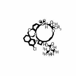 [2H]C([2H])([2H])N(C(=O)O[C@H]1C=CCOC(C)(C)C(=O)NS(=O)(=O)c2ccc3c(c2)N(C[C@@H]2CC[C@H]21)C[C@@]1(CCCc2cc(Cl)ccc21)CO3)C([2H])([2H])[2H]